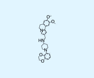 COc1cc2c(cc1OC)-c1cc(CNC3CCN(c4cccc5c4OCCO5)CC3)cn1CC2